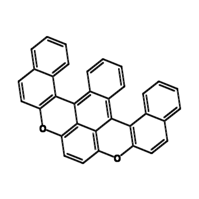 c1ccc2c3c(ccc2c1)Oc1ccc2c4c(c5ccccc5c-3c14)-c1c(ccc3ccccc13)O2